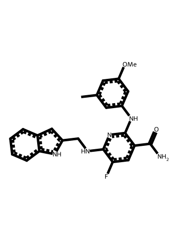 COc1cc(C)cc(Nc2nc(NCc3cc4ccccc4[nH]3)c(F)cc2C(N)=O)c1